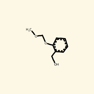 COCOc1ccccc1CO